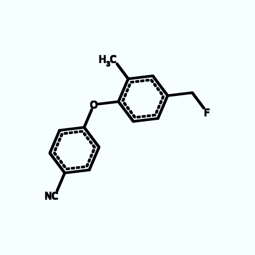 Cc1cc(CF)ccc1Oc1ccc(C#N)cc1